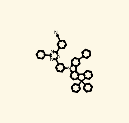 N#Cc1cccc(-c2nc(-c3ccccc3)nc(-c3cccc(-n4c5ccc(-c6ccccc6)cc5c5c6c(ccc54)C(c4ccccc4)(c4ccccc4)c4ccccc4-6)c3)n2)c1